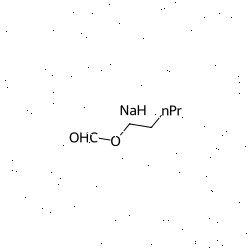 CCCCCOC=O.[NaH]